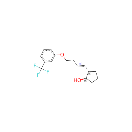 O[C@@H]1CCC[C@H]1/C=C/CCOc1cccc(C(F)(F)F)c1